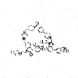 COCCn1c(=O)n(C2CCC(=O)NC2=O)c2ccc(CN3CCN(CC4CCN(C(=O)c5ccc(C6CCN(Cc7cc8c(-c9ccc%10[nH]ncc%10c9)ccnc8n7C)CC6)cc5)CC4)CC3)cc21